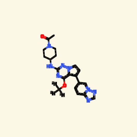 [2H]C([2H])([2H])Oc1nc(NC2CCN(C(C)=O)CC2)nn2ccc(-c3ccc4ncnn4c3)c12